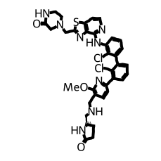 COc1nc(-c2cccc(-c3cccc(Nc4nccc5sc(CN6CCNC(=O)C6)nc45)c3Cl)c2Cl)ccc1CNC[C@H]1CCC(=O)N1